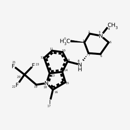 C[C@H]1CN(C)CC[C@@H]1Nc1cccc2c1cc(I)n2CC(F)(F)F